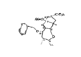 CCOC(=O)[C@@H](N)CC(F)(F)[C@H]1O[C@H](CC)[C@H](C)[C@H](OCc2ccccc2)[C@H]1OCOC